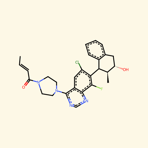 C/C=C/C(=O)N1CCN(c2ncnc3c(F)c(C4c5ccccc5C[C@H](O)[C@H]4C)c(Cl)cc23)CC1